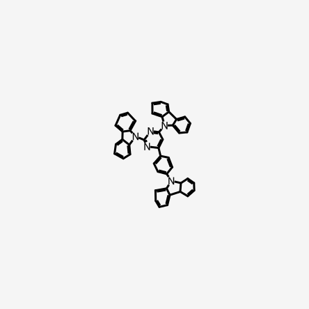 C1=CC2c3ccccc3N(c3ccc(-c4cc(-n5c6ccccc6c6ccccc65)nc(-n5c6ccccc6c6ccccc65)n4)cc3)C2C=C1